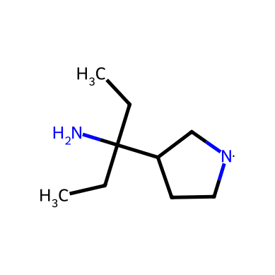 CCC(N)(CC)C1CC[N]C1